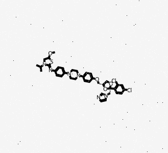 COC1CN(C(C)C)C(=Nc2ccc(N3CCN(c4ccc(OC[C@@H]5CO[C@@](Cn6ccnc6)(c6ccc(Cl)cc6Cl)O5)cc4)CC3)cc2)S1